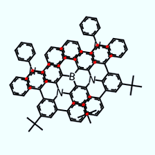 CC(C)(C)c1cc(-c2ccccc2)c(N2c3cc(N(c4ccccc4)c4ccccc4)cc(-c4ccccc4)c3B3c4c(-c5ccccc5)cc(N(c5ccccc5)c5ccccc5)cc4N(c4c(-c5ccccc5)cc(C(C)(C)C)cc4-c4ccccc4)c4cc(C(C)(C)C)cc2c43)c(-c2ccccc2)c1